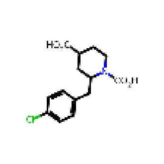 O=C(O)C1CCN(C(=O)O)C(Cc2ccc(Cl)cc2)C1